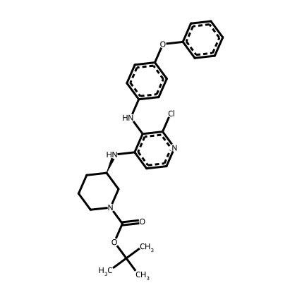 CC(C)(C)OC(=O)N1CCC[C@@H](Nc2ccnc(Cl)c2Nc2ccc(Oc3ccccc3)cc2)C1